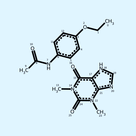 CCOc1ccc(NC(C)=O)cc1.Cn1c(=O)c2[nH]cnc2n(C)c1=O